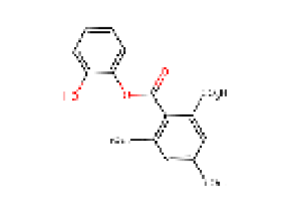 CCCCCCCCc1cc(CCCCCCCC)c(C(=O)Oc2ccccc2O)c(C(=O)O)c1